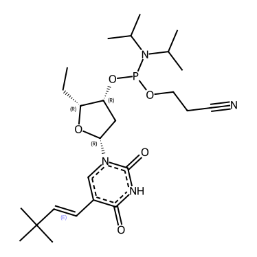 CC[C@H]1O[C@@H](n2cc(/C=C/C(C)(C)C)c(=O)[nH]c2=O)C[C@H]1OP(OCCC#N)N(C(C)C)C(C)C